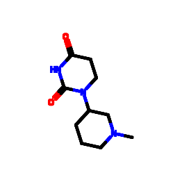 CN1CCCC(N2CCC(=O)NC2=O)C1